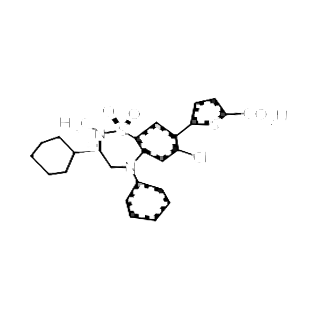 CN1[C@H](C2CCCCC2)CN(c2ccccc2)c2cc(Cl)c(-c3ccc(C(=O)O)s3)cc2S1(=O)=O